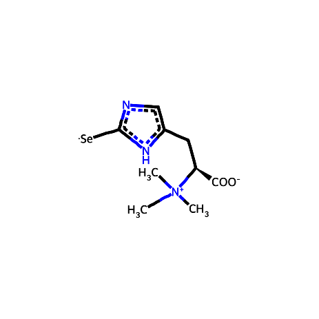 C[N+](C)(C)[C@@H](Cc1cnc([Se])[nH]1)C(=O)[O-]